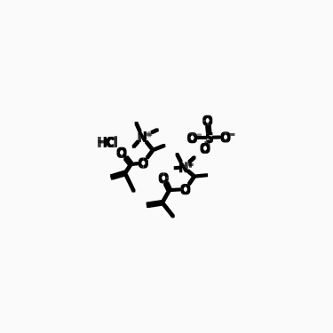 C=C(C)C(=O)OC(C)[N+](C)(C)C.C=C(C)C(=O)OC(C)[N+](C)(C)C.Cl.O=S(=O)([O-])[O-]